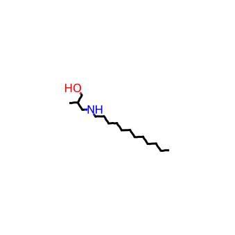 CCCCCCCCCCCCNCC(C)CO